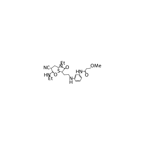 CCNC(=O)C(C#N)CC1SC(CCNc2cccc(NC(=O)CCOC)c2)C(=O)N1CC